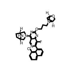 Fc1c(-c2cccc3cccc(Cl)c23)ncc2c(N3C[C@H]4CC[C@@H](C3)N4)nc(OCCCN3C[C@@H]4C[C@H]3CO4)nc12